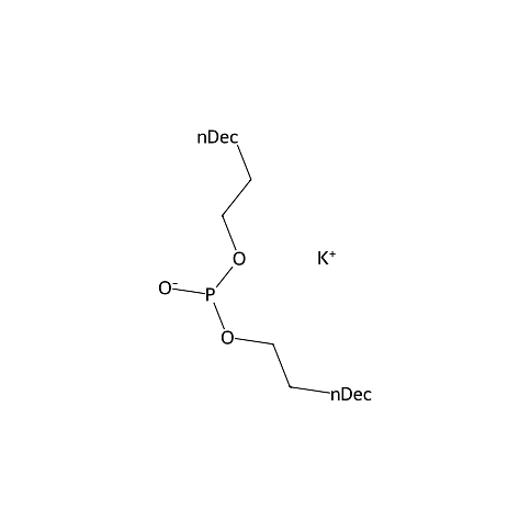 CCCCCCCCCCCCOP([O-])OCCCCCCCCCCCC.[K+]